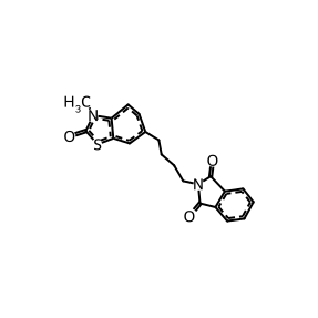 Cn1c(=O)sc2cc(CCCCN3C(=O)c4ccccc4C3=O)ccc21